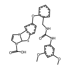 COc1cc(NC(=O)NCc2ccccc2Oc2ccc3c(c2)N2C=CN(C(=O)O)C2S3)cc(OC)c1